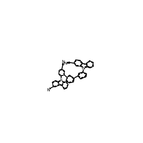 N#Cc1ccc(-n2c3ccccc3c3cc(C#N)ccc32)c(-c2cccc(-c3cccc(-n4c5ccccc5c5ccc(C#N)cc54)c3)c2)c1